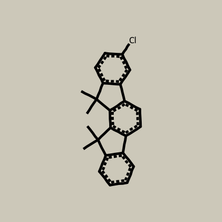 CC1(C)c2ccccc2-c2ccc3c(c21)C(C)(C)c1ccc(Cl)cc1-3